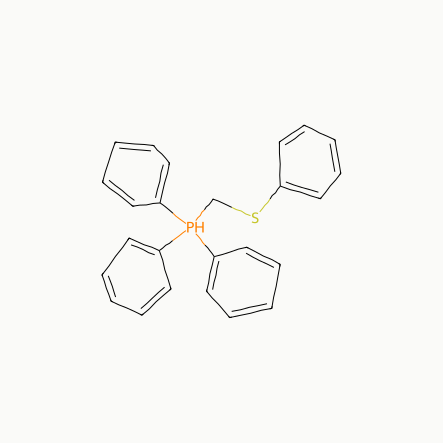 c1ccc(SC[PH](c2ccccc2)(c2ccccc2)c2ccccc2)cc1